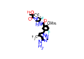 COc1cc(F)c(-c2cc(C(F)(F)F)c3c(N)ncnn23)cc1C(=O)NC1CN(C(=O)C(C)(O)C(F)(F)F)CC1F